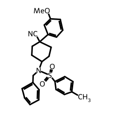 COc1cccc(C2(C#N)CCC(N(Cc3ccccc3)S(=O)(=O)c3ccc(C)cc3)CC2)c1